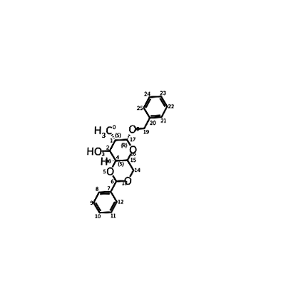 C[C@H]1C(O)[C@@H]2OC(c3ccccc3)OCC2O[C@H]1OCc1ccccc1